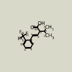 CC(C)C(/C=C/c1ccccc1C(F)(F)F)C(=O)O